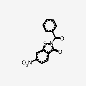 O=C(c1ccccc1)n1sc2cc([N+](=O)[O-])ccc2c1=O